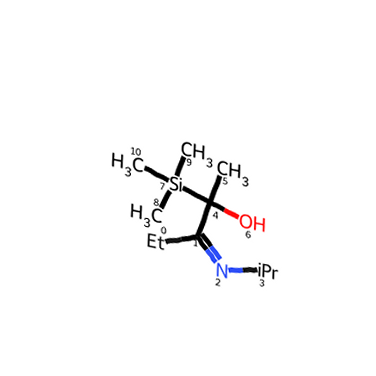 CCC(=NC(C)C)C(C)(O)[Si](C)(C)C